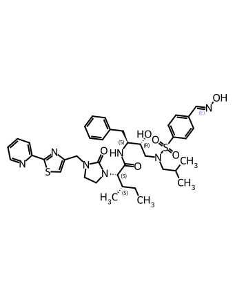 CC[C@H](C)[C@@H](C(=O)N[C@@H](Cc1ccccc1)[C@H](O)CN(CC(C)C)S(=O)(=O)c1ccc(/C=N/O)cc1)N1CCN(Cc2csc(-c3ccccn3)n2)C1=O